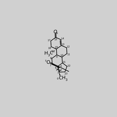 C[C@]12CCC(=O)[C@]13CCC1C(CCC4=CC(=O)CC[C@@]41C)C3CC2